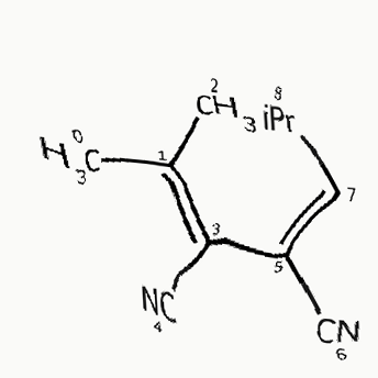 CC(C)=C(C#N)/C(C#N)=C\C(C)C